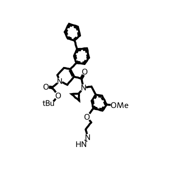 COc1cc(CN(C(=O)C2=C(c3cccc(-c4ccccc4)c3)CCN(C(=O)OC(C)(C)C)C2)C2CC2)cc(OCCN=N)c1